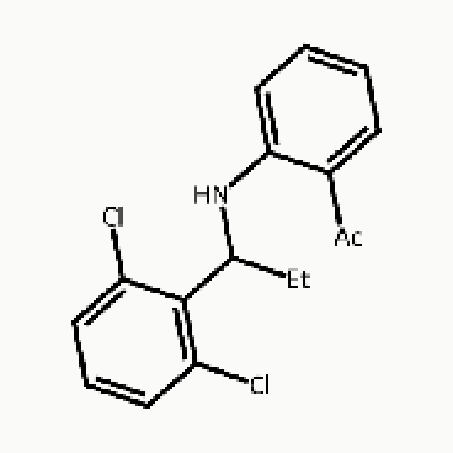 CCC(Nc1ccccc1C(C)=O)c1c(Cl)cccc1Cl